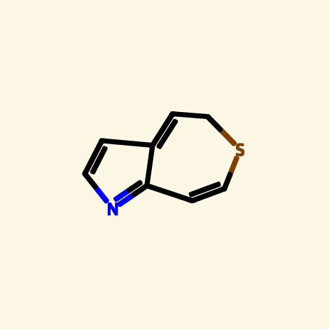 C1=CC2=CCSC=CC2=N1